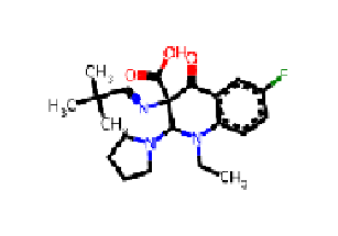 CCN1c2ccc(F)cc2C(=O)C(N=CC(C)(C)C)(C(=O)O)C1N1CCCC1